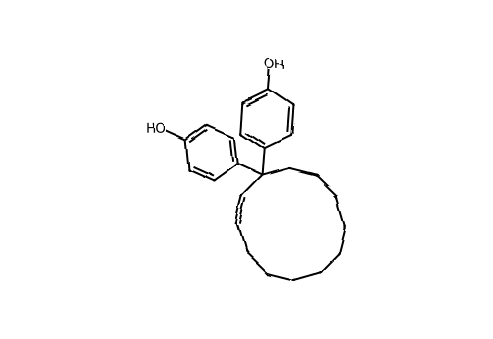 Oc1ccc(C2(c3ccc(O)cc3)C=CCCCCCCCCC2)cc1